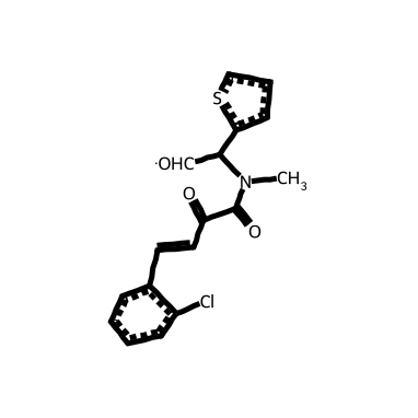 CN(C(=O)C(=O)C=Cc1ccccc1Cl)C([C]=O)c1cccs1